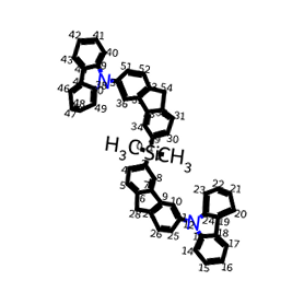 C[Si](C)(c1ccc2c(c1)-c1cc(-n3c4ccccc4c4ccccc43)ccc1C2)c1ccc2c(c1)-c1cc(-n3c4ccccc4c4ccccc43)ccc1C2